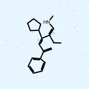 C=C(/C=C(\C(=C/NC)CC)C1CCCC1)c1ccccc1